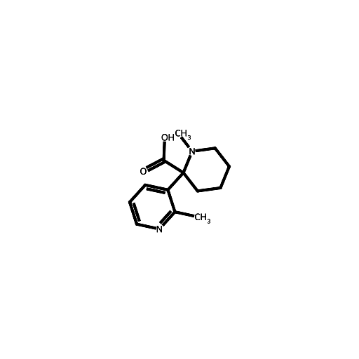 Cc1ncccc1C1(C(=O)O)CCCCN1C